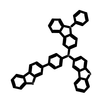 c1ccc(-n2c3ccccc3c3cc(N(c4ccc(-c5ccc6c(c5)sc5ccccc56)cc4)c4ccc5sc6ccccc6c5c4)ccc32)cc1